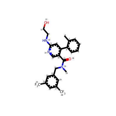 Cc1ccccc1-c1cc(NCCO)ncc1C(=O)N(C)Cc1cc(C(F)(F)F)cc(C(F)(F)F)c1